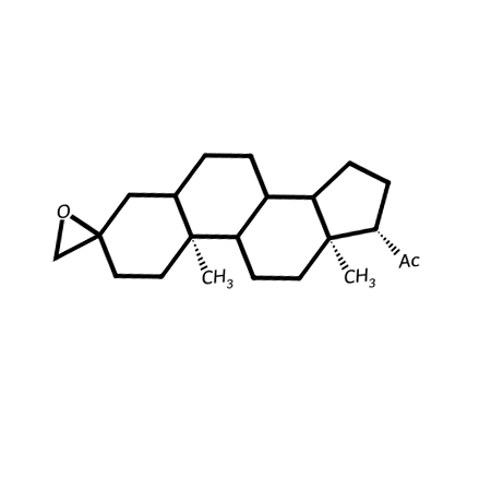 CC(=O)[C@H]1CCC2C3CCC4CC5(CC[C@]4(C)C3CC[C@@]21C)CO5